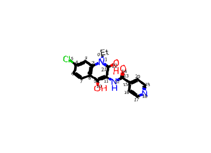 CCN1c2cc(Cl)ccc2C(O)=C(NC(=O)c2ccncc2)C1O